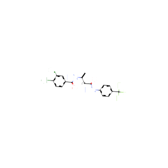 C=C(NC(=O)c1ccc(Cl)c(Cl)c1)[C@@H](C)C(=O)Nc1ccc(C(F)(F)F)cc1